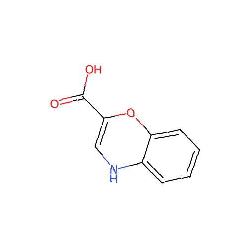 O=C(O)C1=CNc2ccccc2O1